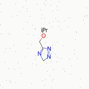 CC(C)OCC1=NCN=N1